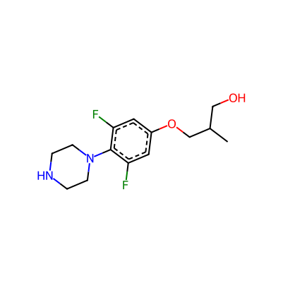 CC(CO)COc1cc(F)c(N2CCNCC2)c(F)c1